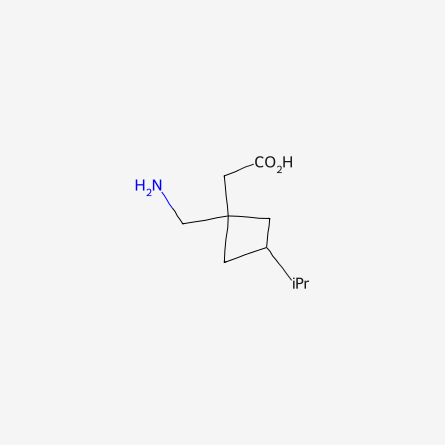 CC(C)C1CC(CN)(CC(=O)O)C1